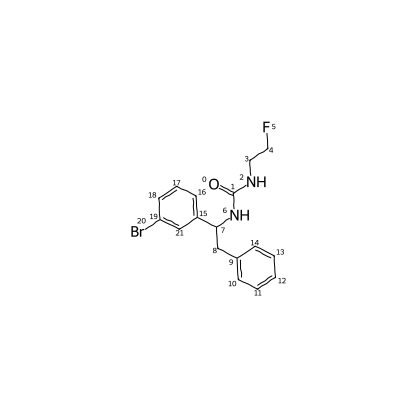 O=C(NCCF)NC(Cc1ccccc1)c1cccc(Br)c1